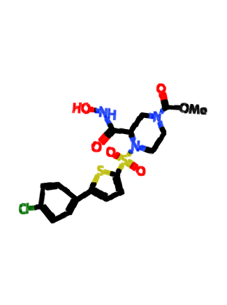 COC(=O)N1CCN(S(=O)(=O)c2ccc(-c3ccc(Cl)cc3)s2)C(C(=O)NO)C1